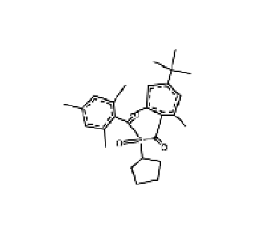 Cc1cc(C)c(C(=O)P(=O)(C(=O)c2c(C)cc(C(C)(C)C)cc2C)C2CCCC2)c(C)c1